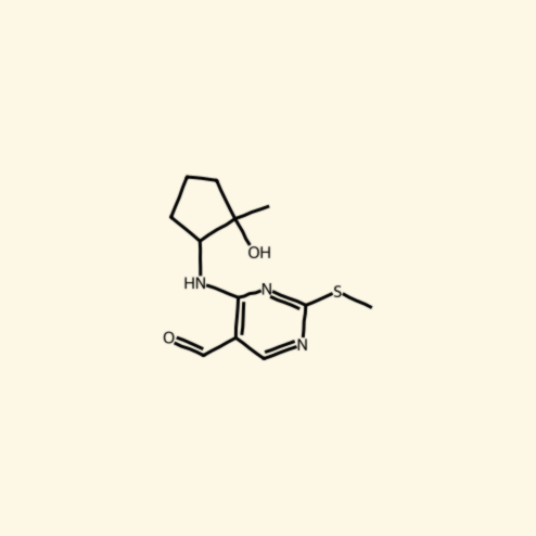 CSc1ncc(C=O)c(NC2CCCC2(C)O)n1